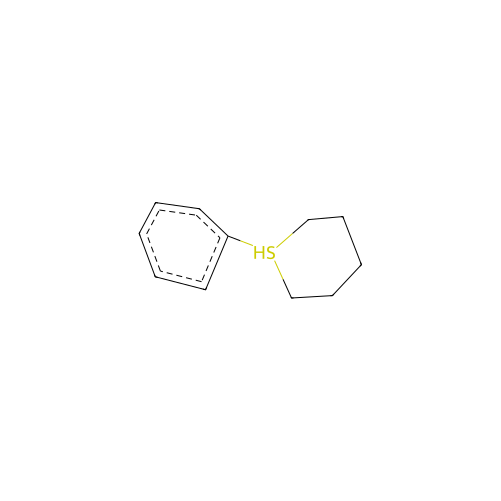 c1ccc([SH]2CCCCC2)cc1